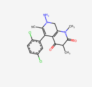 CC1C(=O)C2=C(CN(N)C(C#N)=C2c2cc(Cl)ccc2Cl)N(C)C1=O